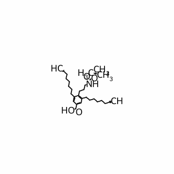 C#CCCCCCCc1cc(C(=O)O)cc(CCCCCCC#C)c1CCCNC(=O)OC(C)(C)C